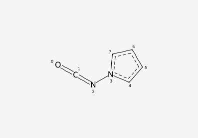 O=C=Nn1cccc1